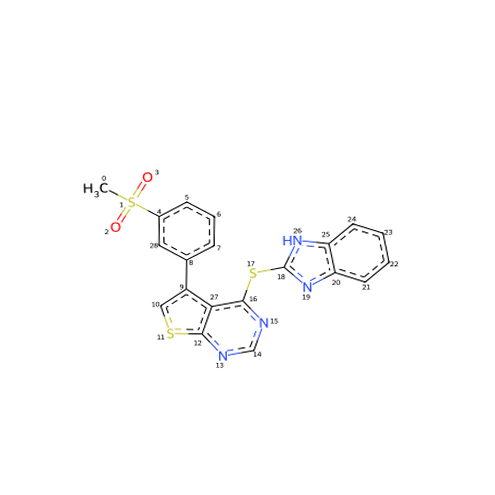 CS(=O)(=O)c1cccc(-c2csc3ncnc(Sc4nc5ccccc5[nH]4)c23)c1